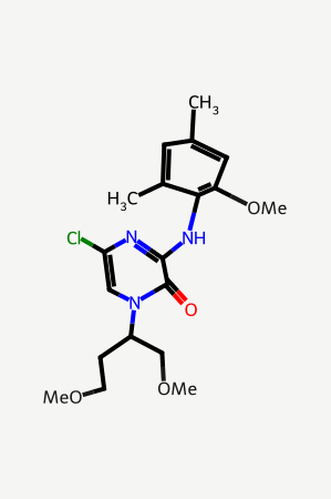 COCCC(COC)n1cc(Cl)nc(Nc2c(C)cc(C)cc2OC)c1=O